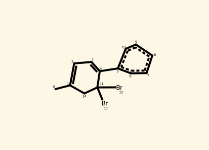 CC1=CC=C(c2ccccc2)C(Br)(Br)C1